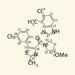 CO[C@@H]1C[C@@H](c2nc3c(C)c(Cl)ccc3[nH]2)N(C(=O)c2nc(C)sc2-c2cccc(Cl)c2)C1